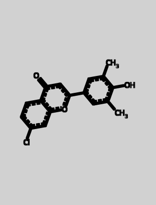 Cc1cc(-c2cc(=O)c3ccc(Cl)cc3o2)cc(C)c1O